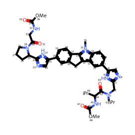 CCCN(Cc1ncc(-c2ccc3c(c2)c2c(n3C)-c3ccc(-c4cnc(C5CCCN5C(=O)CNC(=O)OC)[nH]4)cc3C2)[nH]1)C(=O)C(NC(=O)OC)C(C)C